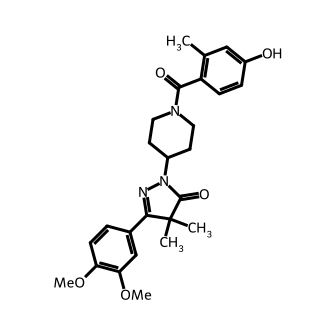 COc1ccc(C2=NN(C3CCN(C(=O)c4ccc(O)cc4C)CC3)C(=O)C2(C)C)cc1OC